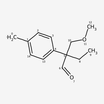 [CH2]c1ccc(C([C]=O)(CC)COC)cc1